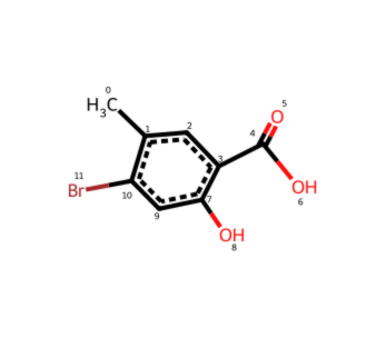 Cc1cc(C(=O)O)c(O)cc1Br